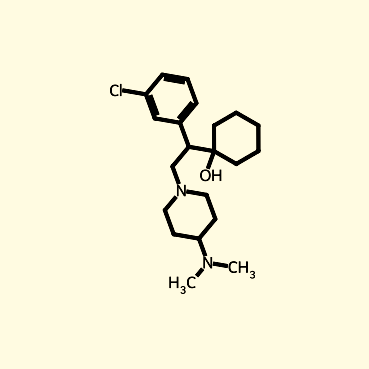 CN(C)C1CCN(CC(c2cccc(Cl)c2)C2(O)CCCCC2)CC1